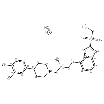 CCS(=O)(=O)c1cc2c(OC[C@@H](O)CN3CCC(c4ccc(Cl)c(Cl)c4)CC3)cccc2o1.Cl.O